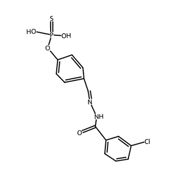 O=C(NN=Cc1ccc(OP(O)(O)=S)cc1)c1cccc(Cl)c1